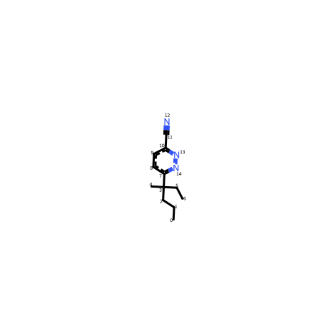 CCCC(C)(CC)c1ccc(C#N)nn1